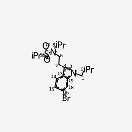 CC(C)Cn1cc(CCN(C(C)C)S(=O)(=O)C(C)C)c2ccc(Br)cc21